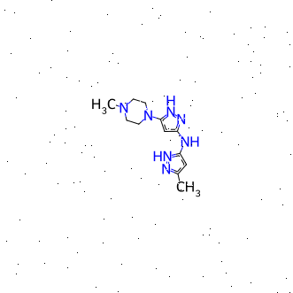 Cc1cc(Nc2cc(N3CCN(C)CC3)[nH]n2)[nH]n1